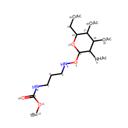 CC(=O)NC1C(ONCCCNC(=O)OC(C)(C)C)OC(COC(C)=O)C(OC(C)=O)C1OC(C)=O